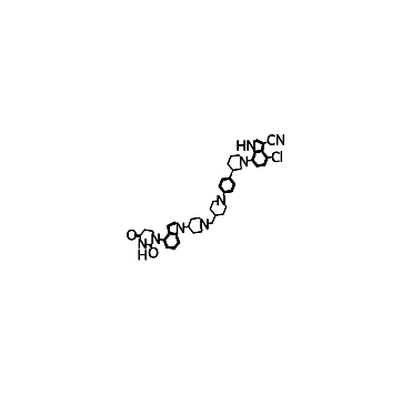 N#Cc1c[nH]c2c(N3CCC[C@H](c4ccc(N5CCC(CN6CCC(n7ccc8c(N9CCC(=O)NC9=O)cccc87)CC6)CC5)cc4)C3)ccc(Cl)c12